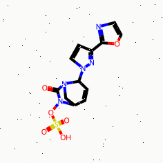 O=C1N2CC(C=CC2n2ccc(-c3ncco3)n2)N1OS(=O)(=O)O